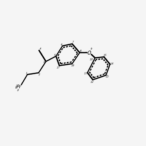 CC(C)CCC(C)c1ccc(Oc2cc[c]cc2)cc1